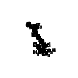 Cc1c(C(=O)O)c(-c2cc(Cl)cc(N3CCN(c4ccc(NSC5C=C(S(=O)(=O)C(F)(F)F)C(NSC6=CCCC=C6)CC5)cc4)CC3)c2)c(-c2ccc(Cl)cc2)n1C